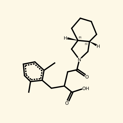 Cc1cccc(C)c1CC(CC(=O)N1C[C@H]2CCCC[C@H]2C1)C(=O)O